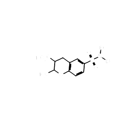 CCN(CC)S(=O)(=O)c1ccc2c(c1)CC(C(=O)O)C(C(F)(F)F)O2